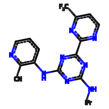 CC(C)Nc1nc(Nc2cccnc2C#N)nc(-c2nccc(C(F)(F)F)n2)n1